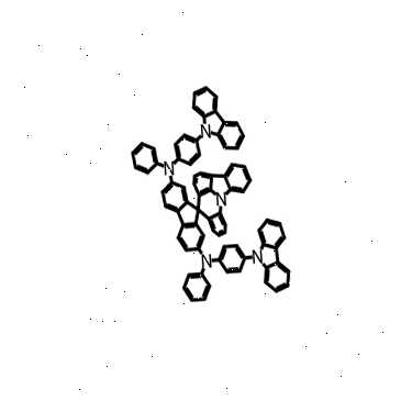 c1ccc(N(c2ccc(-n3c4ccccc4c4ccccc43)cc2)c2ccc3c(c2)C2(c4cc(N(c5ccccc5)c5ccc(-n6c7ccccc7c7ccccc76)cc5)ccc4-3)c3ccccc3-n3c4ccccc4c4cccc2c43)cc1